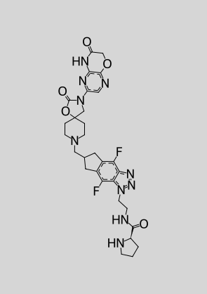 O=C1COc2ncc(N3CC4(CCN(CC5Cc6c(c(F)c7c(nnn7CCNC(=O)[C@H]7CCCN7)c6F)C5)CC4)OC3=O)nc2N1